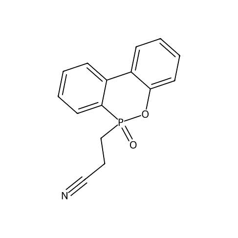 N#CCCP1(=O)Oc2ccccc2-c2ccccc21